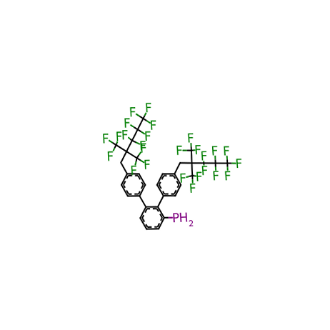 FC(F)(F)C(F)(F)C(F)(F)C(Cc1ccc(-c2cccc(P)c2-c2ccc(CC(C(F)(F)F)(C(F)(F)F)C(F)(F)C(F)(F)C(F)(F)F)cc2)cc1)(C(F)(F)F)C(F)(F)F